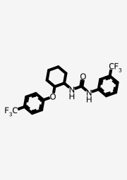 O=C(Nc1cccc(C(F)(F)F)c1)NC1CCCCC1Oc1ccc(C(F)(F)F)cc1